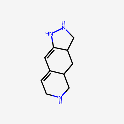 C1=C2C=C3NNCC3CC2CNC1